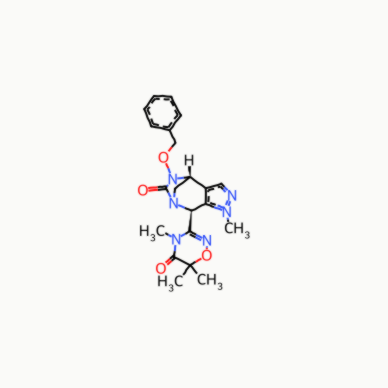 CN1C(=O)C(C)(C)ON=C1[C@@H]1c2c(cnn2C)[C@@H]2CN1C(=O)N2OCc1ccccc1